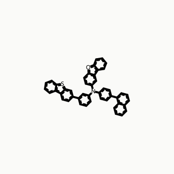 c1cc(-c2ccc3c(c2)sc2ccccc23)cc(N(c2ccc(-c3cccc4ccccc34)cc2)c2ccc3oc4ccccc4c3c2)c1